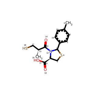 Cc1ccc(C2SC[C@@H](C(=O)O)N2C(=O)[C@H](C)CS)cc1